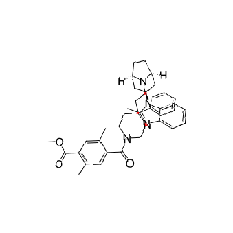 COC(=O)c1cc(C)c(C(=O)N2CCC(CCN3[C@@H]4CC[C@H]3C[C@@H](n3c(C)nc5ccccc53)C4)(c3ccccc3)CC2)cc1C